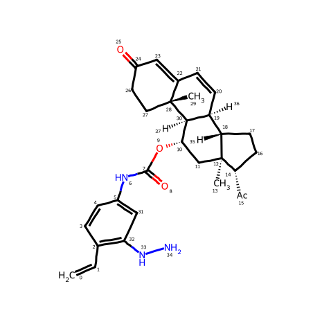 C=Cc1ccc(NC(=O)O[C@H]2C[C@]3(C)[C@@H](C(C)=O)CC[C@H]3[C@@H]3C=CC4=CC(=O)CC[C@@]4(C)[C@@H]32)cc1NN